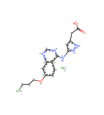 Cl.O=C(O)Cc1cc(Nc2ncnc3cc(OCCCCl)ccc23)n[nH]1